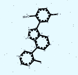 COc1ccc(F)cc1-c1noc2c(-c3cncnc3C)cccc12